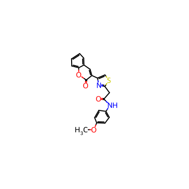 COc1ccc(NC(=O)Cc2nc(-c3cc4ccccc4oc3=O)cs2)cc1